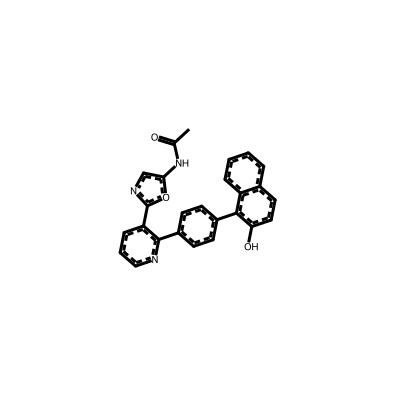 CC(=O)Nc1cnc(-c2cccnc2-c2ccc(-c3c(O)ccc4ccccc34)cc2)o1